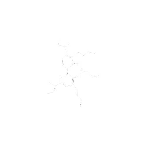 CCCCc1cc(C(C)CC)cc2c1op(OCC)oc1c(CCCC)c(C(C)CC)ccc12